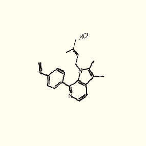 C=Cc1ccc(-c2nccc3c(C)c(C)n(CC=C(C)C)c23)cc1.Cl